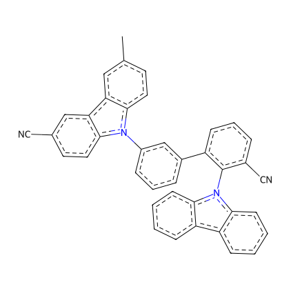 Cc1ccc2c(c1)c1cc(C#N)ccc1n2-c1cccc(-c2cccc(C#N)c2-n2c3ccccc3c3ccccc32)c1